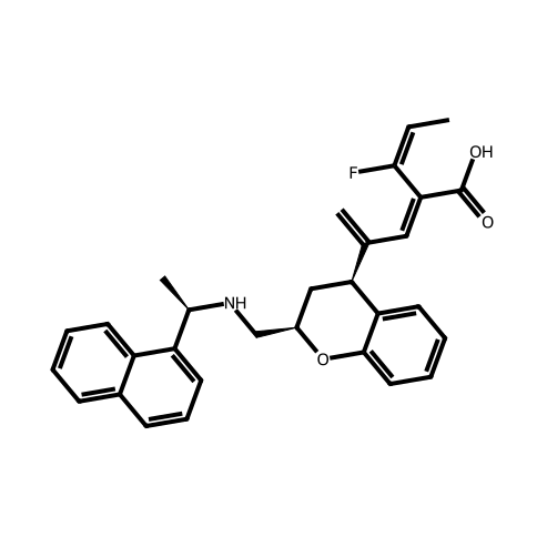 C=C(/C=C(C(=O)O)\C(F)=C/C)[C@@H]1C[C@H](CN[C@H](C)c2cccc3ccccc23)Oc2ccccc21